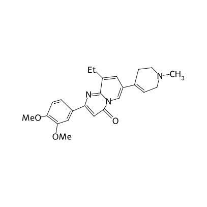 CCc1cc(C2=CCN(C)CC2)cn2c(=O)cc(-c3ccc(OC)c(OC)c3)nc12